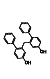 Oc1ccc(-c2ccccc2)c(Cc2cc(O)ccc2-c2ccccc2)c1